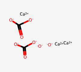 O=C([O-])[O-].O=C([O-])[O-].[Ca+2].[Ca+2].[Ca+2].[O-].[O-]